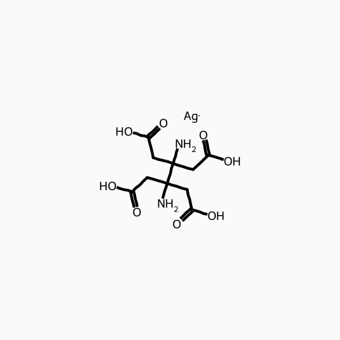 NC(CC(=O)O)(CC(=O)O)C(N)(CC(=O)O)CC(=O)O.[Ag]